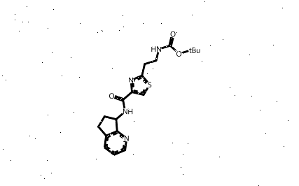 CC(C)(C)OC(=O)NCCc1nc(C(=O)NC2CCc3cccnc32)cs1